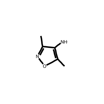 Cc1noc(C)c1[NH]